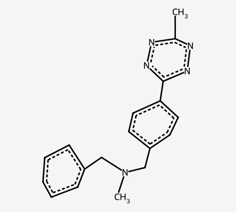 Cc1nnc(-c2ccc(CN(C)Cc3ccccc3)cc2)nn1